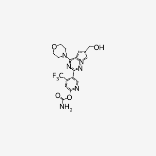 NC(=O)Oc1cc(C(F)(F)F)c(-c2nc(N3CCOCC3)c3cc(CO)cn3n2)cn1